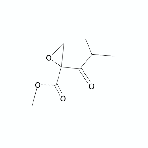 COC(=O)C1(C(=O)C(C)C)CO1